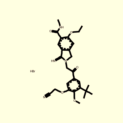 Br.CCOc1cc2c(cc1C(=O)NC)C(=N)N(CC(=O)c1cc(OCC#N)c(OC)c(C(C)(C)C)c1)C2